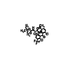 COc1ccc(Cl)c(C(=O)c2c(NC(=O)[C@H](C)NC(=O)OC(C)(C)C)ccc(C(F)(F)F)c2Cl)n1